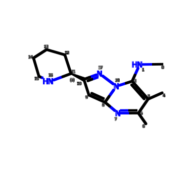 CNc1c(C)c(C)nc2cc([C@@H]3CCCCN3)nn12